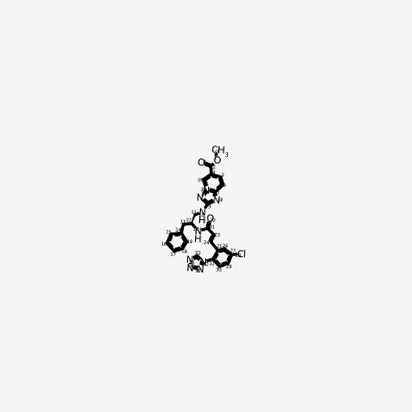 COC(=O)c1ccc2nc(NC[C@H](Cc3ccccc3)NC(=O)/C=C/c3cc(Cl)ccc3-n3cnnn3)nn2c1